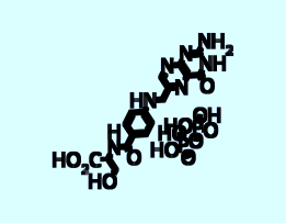 Nc1nc2ncc(CNc3ccc(C(=O)N[C@@H](CO)C(=O)O)cc3)nc2c(=O)[nH]1.O=P(O)(O)OP(=O)(O)O